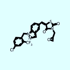 O=C1SC(=Cc2ccc3c(cnn3Cc3ccc(Cl)cc3C(F)(F)F)c2)C(=O)N1CC1CO1